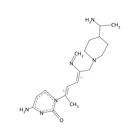 C=N/C(=C\C=C(/C)n1ccc(N)nc1=O)CN1CCC(C(C)N)CC1